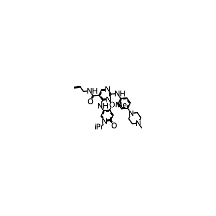 C=CCNC(=O)c1cnc(Nc2ccc(N3CCN(C)CC3)cc2)nc1Nc1cn(C(C)C)c(=O)cc1OC